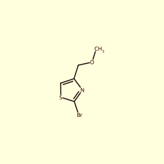 COCc1csc(Br)n1